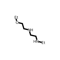 CCNCCNCCOCC